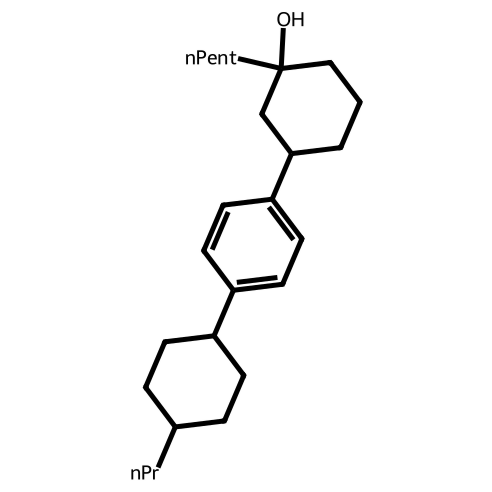 CCCCCC1(O)CCCC(c2ccc(C3CCC(CCC)CC3)cc2)C1